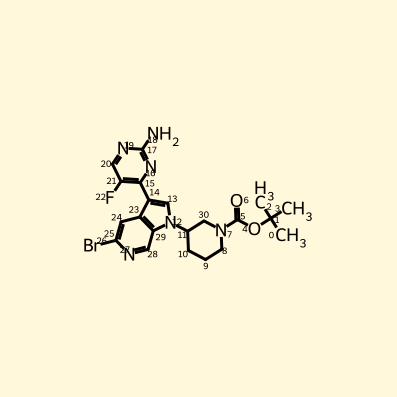 CC(C)(C)OC(=O)N1CCCC(n2cc(-c3nc(N)ncc3F)c3cc(Br)ncc32)C1